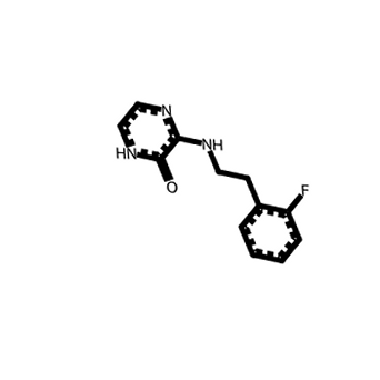 O=c1[nH]ccnc1NCCc1ccccc1F